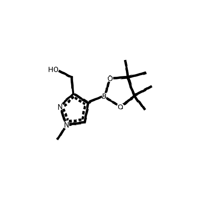 Cn1cc(B2OC(C)(C)C(C)(C)O2)c(CO)n1